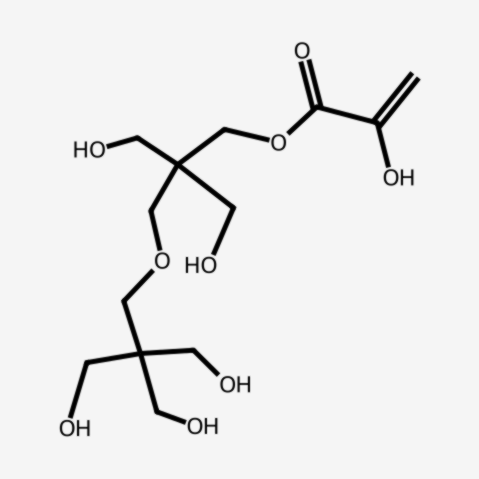 C=C(O)C(=O)OCC(CO)(CO)COCC(CO)(CO)CO